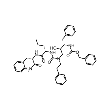 CCC[C@H](NC(=O)N(CCc1ccccc1)C[C@@H](O)[C@H](Cc1ccccc1)NC(=O)OCc1ccccc1)C(=O)N[C@@H](Cc1ccccc1)C(N)=O